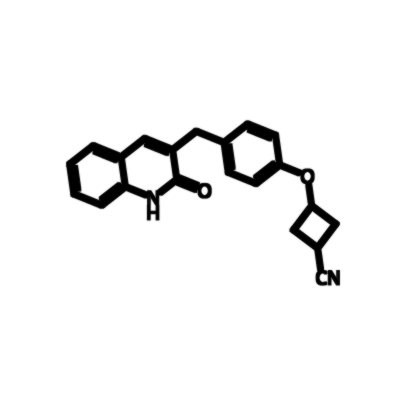 N#CC1CC(Oc2ccc(Cc3cc4ccccc4[nH]c3=O)cc2)C1